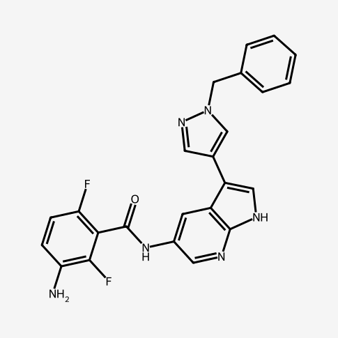 Nc1ccc(F)c(C(=O)Nc2cnc3[nH]cc(-c4cnn(Cc5ccccc5)c4)c3c2)c1F